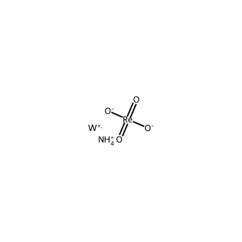 [NH4+].[O]=[Re](=[O])([O-])[O-].[W+]